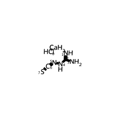 Cl.N=C(N)NN=C=S.[CaH2]